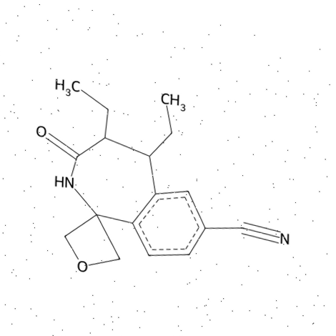 CCC1C(=O)NC2(COC2)c2ccc(C#N)cc2C1CC